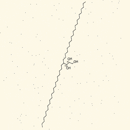 CCCCCCCCCCCCCCCCCCCCCC[C](CCCCCCCCCCCCCCCCCCCCCC)[C@H](O)[C@H](O)CO